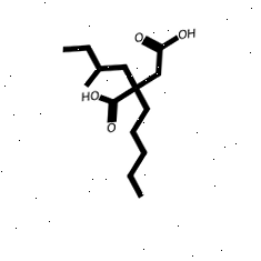 CCCCCC(CC(=O)O)(CC(C)CC)C(=O)O